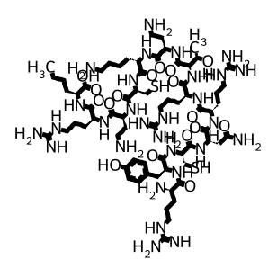 CCCC[C@H](NC(=O)[C@H](CCCNC(=N)N)NC(=O)[C@H](CCN)NC(=O)[C@H](CS)NC(=O)[C@H](CCCCN)NC(=O)[C@@H](CCN)NC(=O)[C@@H](NC(=O)[C@H](CCCNC(=N)N)NC(=O)[C@H](CCCNC(=N)N)NC(=O)[C@H](CC(N)=O)NC(=O)[C@H](CS)NC(=O)[C@H](Cc1ccc(O)cc1)NC(=O)[C@@H](N)CCCNC(=N)N)[C@@H](C)O)C(=O)O